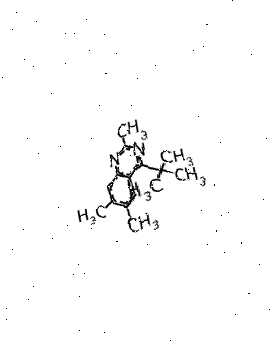 Cc1nc(C(C)(C)C)c2cc(C)c(C)cc2n1